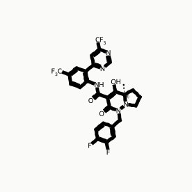 C[C@]12CCCN1N(Cc1ccc(F)c(F)c1)C(=O)C(C(=O)Nc1ccc(C(F)(F)F)cc1-c1cc(C(F)(F)F)ncn1)=C2O